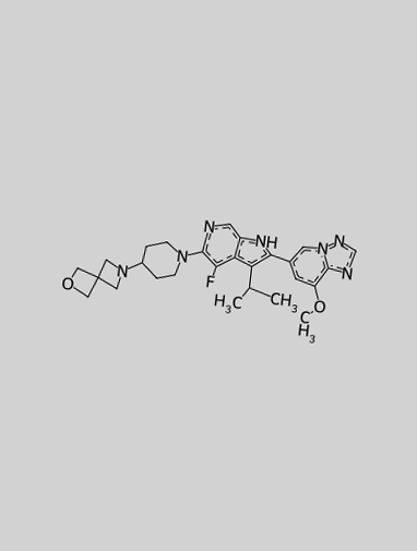 COc1cc(-c2[nH]c3cnc(N4CCC(N5CC6(COC6)C5)CC4)c(F)c3c2C(C)C)cn2ncnc12